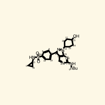 CCCCNc1ncc2c(-c3ccc(S(=O)(=O)NC4CC4)cc3)nn(C3CCC(O)CC3)c2n1